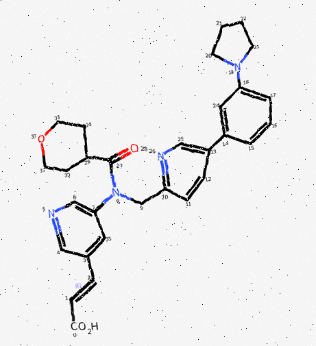 O=C(O)/C=C/c1cncc(N(Cc2ccc(-c3cccc(N4CCCC4)c3)cn2)C(=O)C2CCOCC2)c1